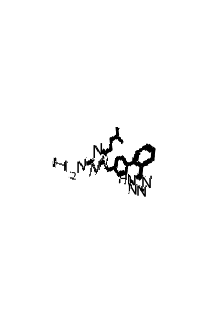 CC(C)CCc1nc(N)nn1Cc1ccc(-c2ccccc2-c2nnn[nH]2)cc1